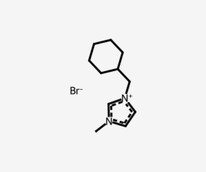 Cn1cc[n+](CC2CCCCC2)c1.[Br-]